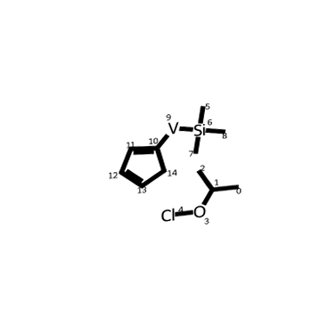 CC(C)OCl.C[Si](C)(C)[V][C]1=CC=CC1